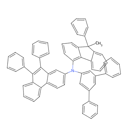 CC1(c2ccccc2)c2ccccc2-c2c(N(c3cc(-c4ccccc4)cc(-c4ccccc4)c3)c3ccc4c(c3)c(-c3ccccc3)c(-c3ccccc3)c3ccccc34)cccc21